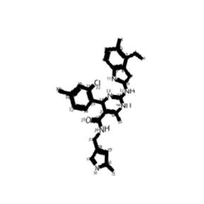 CCc1c(C)ccc2c1CC(NC1=NC(c3ccc(C)cc3Cl)C(C(=O)NCC3=CC(C)N=C3)=C(C)N1)=N2